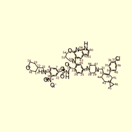 O=C(NS(=O)(=O)c1ccc(NCC2CCOCC2)c([N+](=O)[O-])c1)c1ccc(N2CCN(CC3=C(c4ccc(Cl)cc4)CC4(CC3)CC4)CC2)cc1N1CCCOc2nc3[nH]ccc3cc21